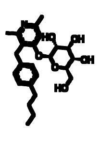 CCCCc1ccc(Cc2c(O[C@@H]3O[C@H](CO)[C@@H](O)[C@H](O)[C@H]3O)cc(C)nc2C)cc1